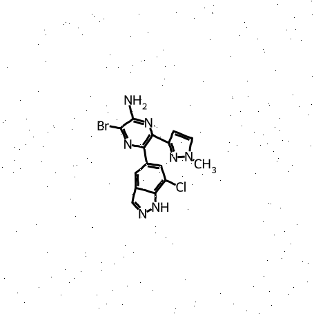 Cn1ccc(-c2nc(N)c(Br)nc2-c2cc(Cl)c3[nH]ncc3c2)n1